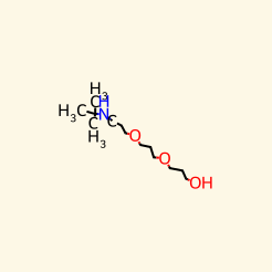 CC(C)(C)NCCCOCCCOCCCO